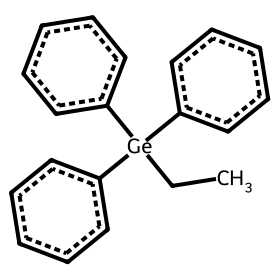 C[CH2][Ge]([c]1ccccc1)([c]1ccccc1)[c]1ccccc1